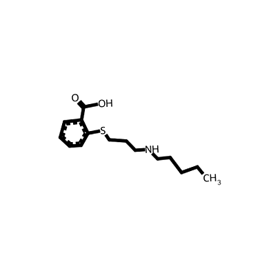 CCCCCNCCCSc1ccccc1C(=O)O